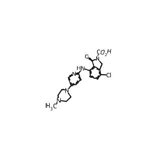 CN1CCN(c2ccc(Nc3ccc(Cl)c4c3C(=O)N(C(=O)O)C4)nc2)CC1